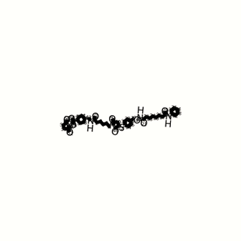 O=C(CCCCCN1C(=O)CC(Sc2ccc(CONC(=O)CCCCCCC(=O)Nc3ccccc3)cc2)C1=O)NC[C@H]1CC[C@H](C(=O)ON2C(=O)CCC2=O)CC1